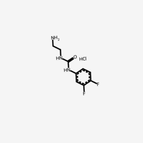 Cl.NCCNC(=O)Nc1ccc(F)c(F)c1